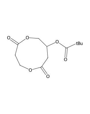 CC(C)(C)C(=O)OC1COC(=O)CCOC(=O)C1